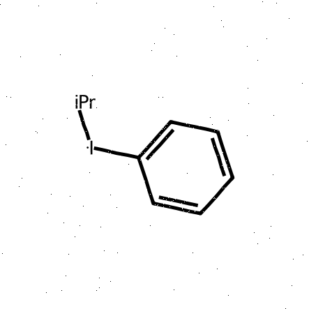 CC(C)[I]c1ccccc1